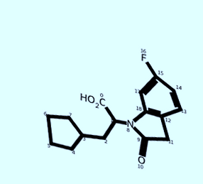 O=C(O)C(CC1CCCC1)N1C(=O)Cc2ccc(F)cc21